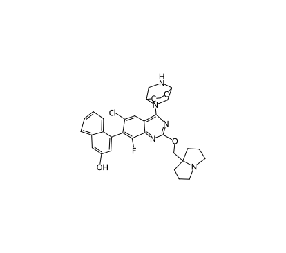 Oc1cc(-c2c(Cl)cc3c(N4CC5CCCC4CN5)nc(OCC45CCCN4CCC5)nc3c2F)c2ccccc2c1